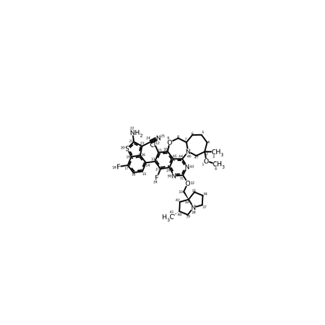 COC1(C)CCCC2COc3c(Cl)c(-c4ccc(F)c5sc(N)c(C#N)c45)c(F)c4nc(OC[C@@]56CCCN5C[C@H](C)C6)nc(c34)N2C1